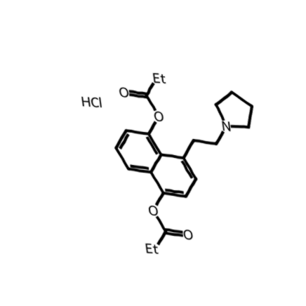 CCC(=O)Oc1ccc(CCN2CCCC2)c2c(OC(=O)CC)cccc12.Cl